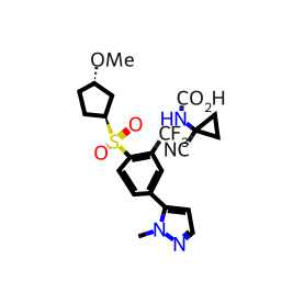 CO[C@H]1CC[C@H](S(=O)(=O)c2ccc(-c3ccnn3C)cc2C(F)(F)F)C1.N#CC1(NC(=O)O)CC1